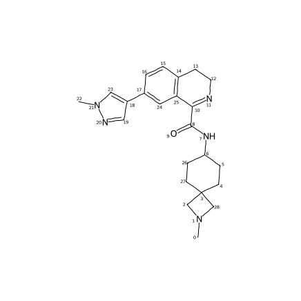 CN1CC2(CCC(NC(=O)C3=NCCc4ccc(-c5cnn(C)c5)cc43)CC2)C1